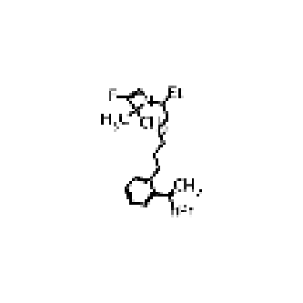 C=C(CCC)c1ccccc1CCCCCC(CC)N1C=C(F)C1(C)C